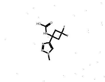 Cn1cc(C2(NC(=O)O)CC(F)(F)C2)nn1